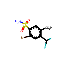 NS(=O)(=O)c1cc(C(=O)O)c(C(F)F)cc1Br